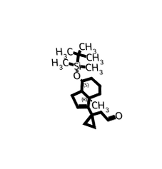 CC(C)(C)[Si](C)(C)O[C@H]1CCC[C@@]2(C)C(C3(CC=O)CC3)=CCC12